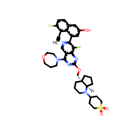 C#Cc1c(F)ccc2cc(O)cc(-c3ncc4c(N5CCCOCC5)nc(OC[C@]56CCC[C@H]5N(C5CCS(=O)(=O)CC5)CCC6)nc4c3F)c12